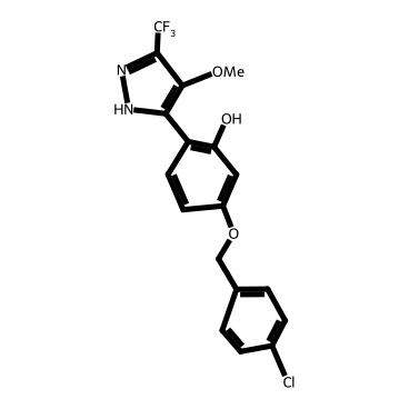 COc1c(C(F)(F)F)n[nH]c1-c1ccc(OCc2ccc(Cl)cc2)cc1O